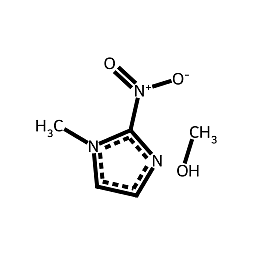 CO.Cn1ccnc1[N+](=O)[O-]